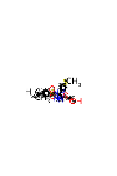 CSc1ccc(-c2c(NS(=O)(=O)c3ccc(C(C)C)cc3)ncnc2OCCO)cc1